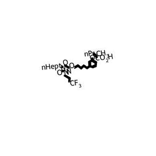 CCCCCCCn1c(=O)c(OCCCCCc2cccc(OC(C)(CCC)C(=O)O)c2)nn(CCCC(F)(F)F)c1=O